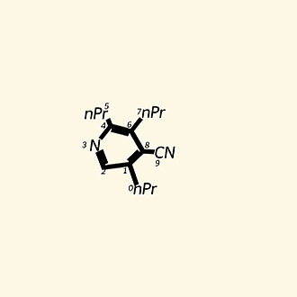 CCCc1cnc(CCC)c(CCC)c1C#N